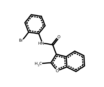 Cc1oc2ccccc2c1C(=O)Nc1ccccc1Br